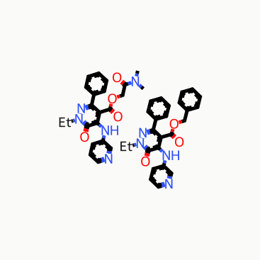 CCn1nc(-c2ccccc2)c(C(=O)OCC(=O)N(C)C)c(Nc2cccnc2)c1=O.CCn1nc(-c2ccccc2)c(C(=O)OCc2ccccc2)c(Nc2cccnc2)c1=O